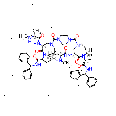 CN[C@@H](C)C(=O)N[C@H]1CN(C(=O)N2CCN(C(=O)N3CC[C@H]4CC[C@@H](C(=O)NC(c5ccccc5)c5ccccc5)N4C(=O)[C@@H](NC(=O)[C@H](C)NC)C3)CC2)CC[C@H]2CCC(C(=O)NC(c3ccccc3)c3ccccc3)N2C1=O